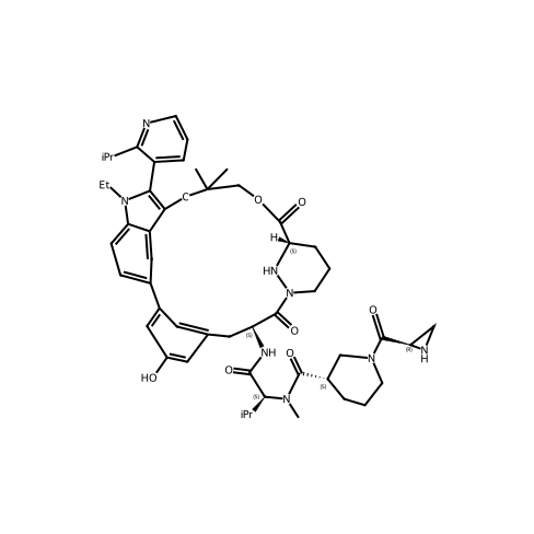 CCn1c(-c2cccnc2C(C)C)c2c3cc(ccc31)-c1cc(O)cc(c1)C[C@H](NC(=O)[C@H](C(C)C)N(C)C(=O)[C@H]1CCCN(C(=O)[C@H]3CN3)C1)C(=O)N1CCC[C@H](N1)C(=O)OCC(C)(C)C2